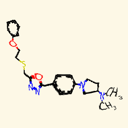 CN(C)C1CCN(c2ccc(-c3nnc(CSCCOc4ccccc4)o3)cc2)C1